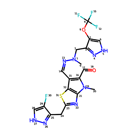 CN(Cc1n[nH]cc1OC(F)(F)F)/N=C\c1c(C=O)n(C)c2nc(Cc3n[nH]cc3F)sc12